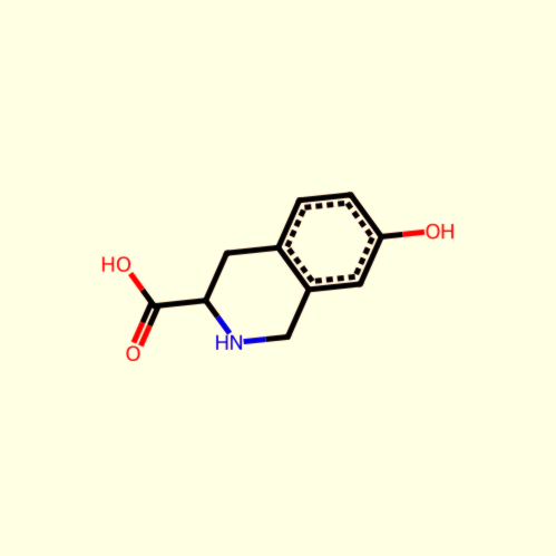 O=C(O)C1Cc2ccc(O)cc2CN1